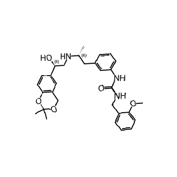 COc1ccccc1CNC(=O)Nc1cccc(C[C@@H](C)NC[C@H](O)c2ccc3c(c2)COC(C)(C)O3)c1